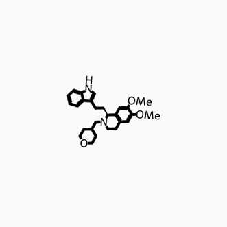 COc1cc2c(cc1OC)[C@H](CCc1c[nH]c3ccccc13)N(CC1CCOCC1)CC2